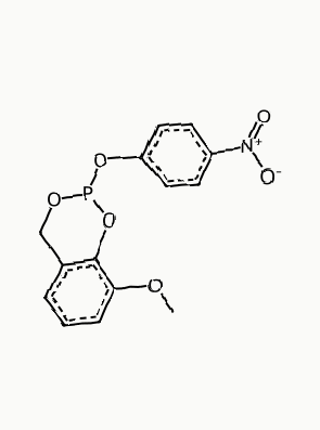 COc1cccc2c1OP(Oc1ccc([N+](=O)[O-])cc1)OC2